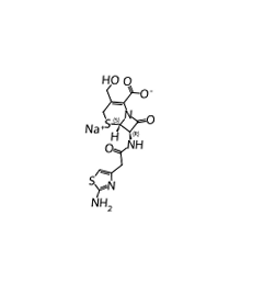 Nc1nc(CC(=O)N[C@@H]2C(=O)N3C(C(=O)[O-])=C(CO)CS[C@@H]23)cs1.[Na+]